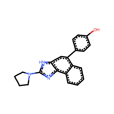 Oc1ccc(-c2cc3[nH]c(N4CCCC4)nc3c3ccccc23)cc1